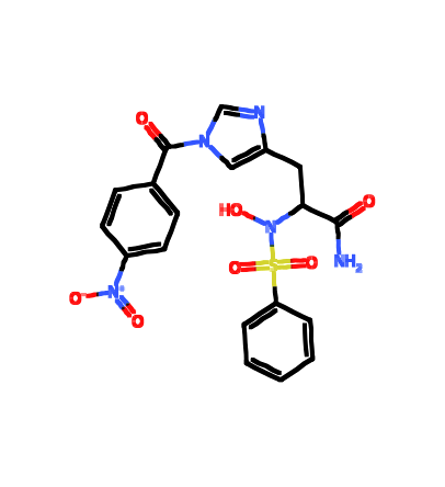 NC(=O)C(Cc1cn(C(=O)c2ccc([N+](=O)[O-])cc2)cn1)N(O)S(=O)(=O)c1ccccc1